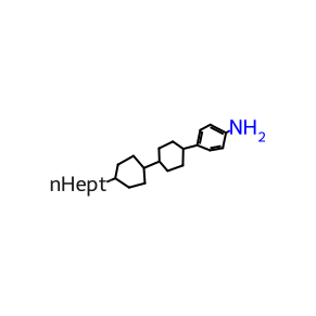 CCCCCCCC1CCC(C2CCC(c3ccc(N)cc3)CC2)CC1